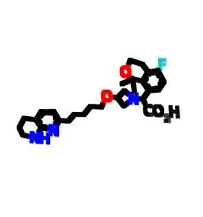 CC1(C)OCCc2c(F)ccc(C(C(=O)O)N3CC(OCCCCCc4ccc5c(n4)NCCC5)C3)c21